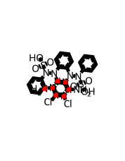 Nc1nc(Cl)nc(N(c2ccccc2N(c2nc(N)nc(Cl)n2)N(c2ccccc2)S(=O)(=O)O)N(c2ccccc2)S(=O)(=O)O)n1